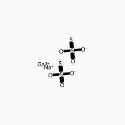 O=S([O-])([O-])=S.O=S([O-])([O-])=S.[Ga+3].[Na+]